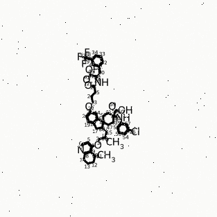 C[C@@H](COc1ccnc2c1[C@H](C)CCC2)C[C@H]1Cc2ccc(OCCCC(=O)N[C@H](Cc3cccc(C(F)(F)F)c3)C(=O)O)cc2C12CCC(Nc1cccc(Cl)c1)(C(=O)O)CC2